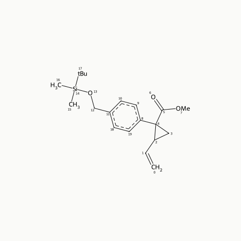 C=CC1CC1(C(=O)OC)c1ccc(CO[Si](C)(C)C(C)(C)C)cc1